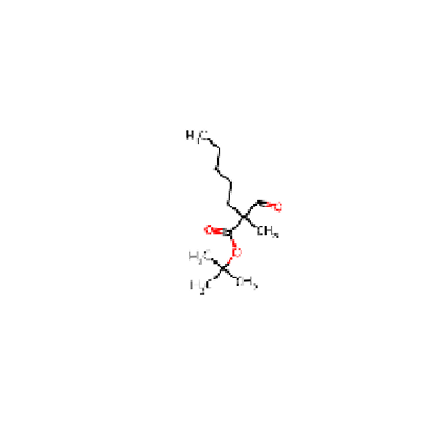 CCCCCC(C)(C=O)C(=O)OC(C)(C)C